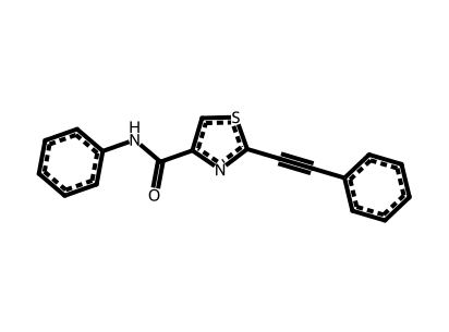 O=C(Nc1ccccc1)c1csc(C#Cc2ccccc2)n1